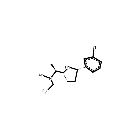 CC(=O)N(CC(F)(F)F)[C@@H](C)[C@H]1CC[C@@H](c2cccc(Cl)c2)N1